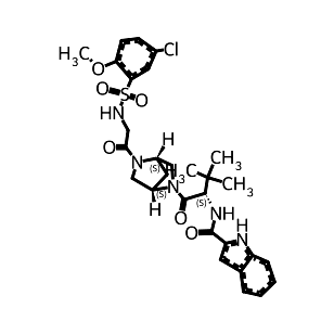 COc1ccc(Cl)cc1S(=O)(=O)NCC(=O)N1C[C@@H]2C[C@H]1CN2C(=O)[C@@H](NC(=O)c1cc2ccccc2[nH]1)C(C)(C)C